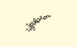 Nc1nc(N)c(C(=O)/N=C2\NCC3(CCN(C(=O)Cc4ccc(O)cc4)CC3)N2)nc1Cl